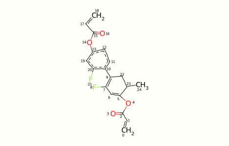 C=CC(=O)OC1=CC(F)=C(c2ccc(OC(=O)C=C)cc2F)CC1C